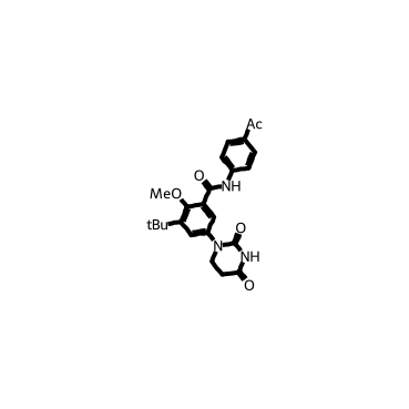 COc1c(C(=O)Nc2ccc(C(C)=O)cc2)cc(N2CCC(=O)NC2=O)cc1C(C)(C)C